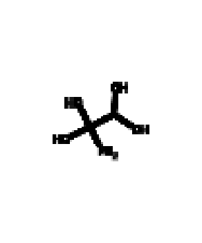 OC(O)C(O)(O)P